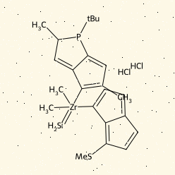 CSC1=C2C(=CC=[C]2[Zr]([CH3])([CH3])(=[SiH2])[C]2=C(C)C=C3C2=CC(C)P3C(C)(C)C)C=C1.Cl.Cl